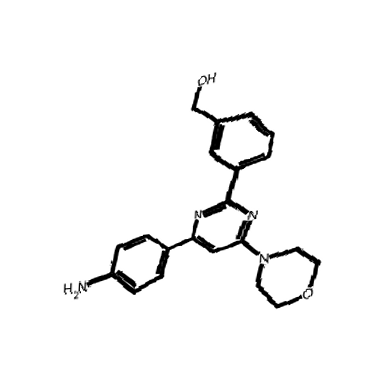 Nc1ccc(-c2cc(N3CCOCC3)nc(-c3cccc(CO)c3)n2)cc1